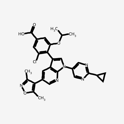 Cc1noc(C)c1-c1cnc2c(c1)c(-c1c(Cl)cc(C(=O)O)cc1OC(C)C)cn2-c1cnc(C2CC2)nc1